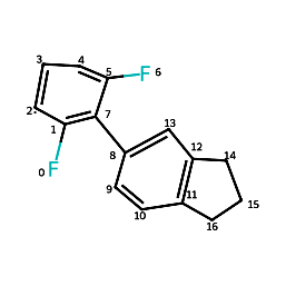 Fc1[c]ccc(F)c1-c1ccc2c(c1)CCC2